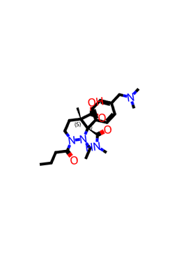 CCCC(=O)N1CC[C@](C)(C(=O)O)[C@](C(=O)NC)(c2ccc(CN(C)C)cc2)N1CC